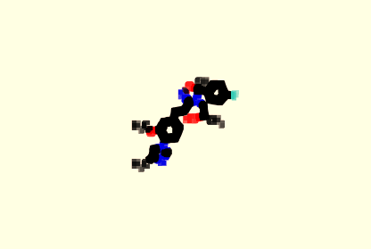 COc1cc(/C=C/C2=NO[C@](C)(c3ccc(F)cc3)N2C[C@H](C)O)ccc1-n1cnc(C)c1